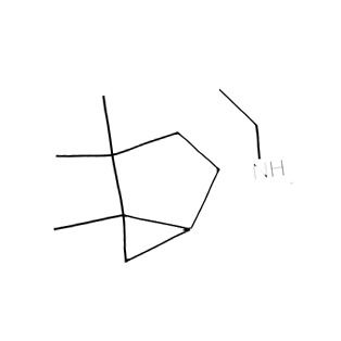 CC1(C)CCC2CC21C.CCN